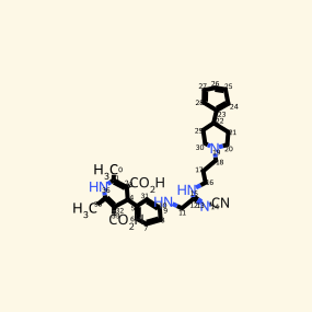 CC1=C(C(=O)O)C(c2cccc(NCC(=NC#N)NCCCN3CCC(c4ccccc4)CC3)c2)C(C(=O)O)=C(C)N1